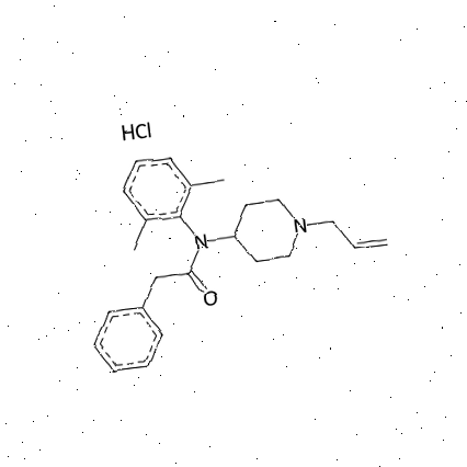 C=CCN1CCC(N(C(=O)Cc2ccccc2)c2c(C)cccc2C)CC1.Cl